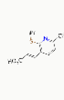 CC(C)Sc1nc(C(F)(F)F)ccc1/C=C/C(=O)O